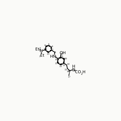 CCN(CC)c1cccc(CNc2ccc(CC[C@H](C)NC(=O)O)cc2O)c1